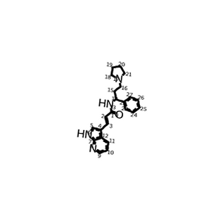 O=C(C=Cc1c[nH]c2ncccc12)NC(CCN1CCCC1)c1ccccc1